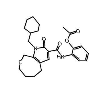 CC(=O)Oc1ccccc1NC(=O)c1cc2c(n(CC3CCCCC3)c1=O)CCCCCC2